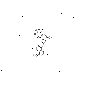 CC(C)(C)OC(=O)N1CC(Oc2nccc3c(O)cccc23)C[C@H]1C(=O)O